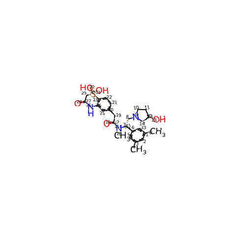 Cc1cc(C)cc([C@@H](CN2CC[C@H](O)C2)N(C)C(=O)Cc2ccc3c(c2)NC(=O)CS3(O)O)c1